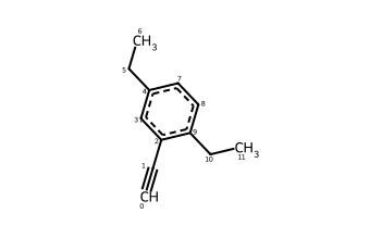 C#Cc1[c]c(CC)ccc1CC